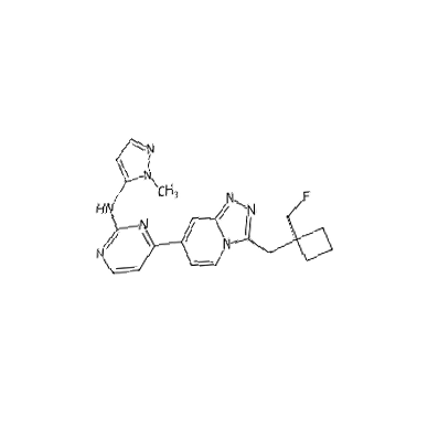 Cn1nccc1Nc1nccc(-c2ccn3c(CC4(CF)CCC4)nnc3c2)n1